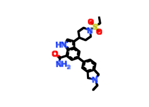 CCN1Cc2ccc(-c3cc(C(N)=O)c4[nH]cc(C5CCN(S(=O)(=O)CC)CC5)c4c3)cc2C1